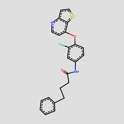 O=C(CCCc1ccccc1)Nc1ccc(Oc2ccnc3ccsc23)c(F)c1